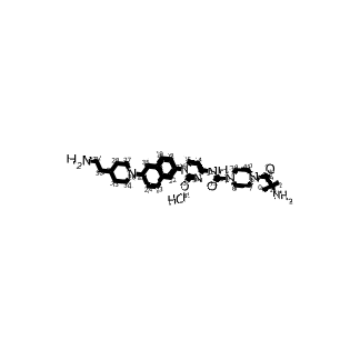 CC(C)(N)C(=O)N1CCN(C(=O)Nc2ccn(-c3ccc4c(c3)CCC(N3CCC(CCN)CC3)C4)c(=O)n2)CC1.Cl